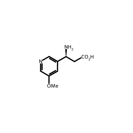 COc1cncc([C@@H](N)CC(=O)O)c1